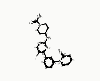 O=C(O)N1CCC(Nc2ncc(F)c(-c3cccc(-n4ccccc4=O)c3)n2)CC1